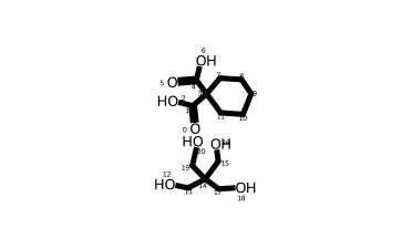 O=C(O)C1(C(=O)O)CCCCC1.OCC(CO)(CO)CO